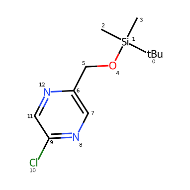 CC(C)(C)[Si](C)(C)OCc1cnc(Cl)cn1